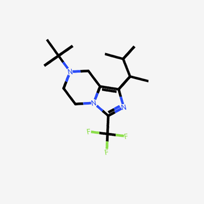 CC(C)C(C)c1nc(C(F)(F)F)n2c1CN(C(C)(C)C)CC2